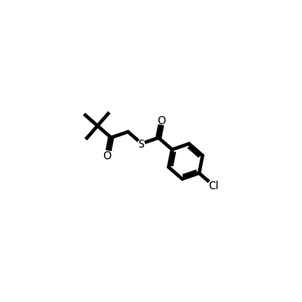 CC(C)(C)C(=O)CSC(=O)c1ccc(Cl)cc1